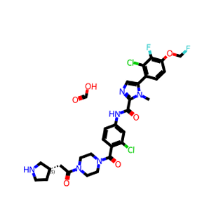 Cn1c(-c2ccc(OCF)c(F)c2Cl)cnc1C(=O)Nc1ccc(C(=O)N2CCN(C(=O)C[C@@H]3CCNC3)CC2)c(Cl)c1.O=CO